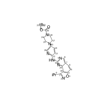 CC(C)c1noc2ccc3cnc(Nc4ccc(N5CCN(C(=O)OC(C)(C)C)CC5)cn4)nc3c12